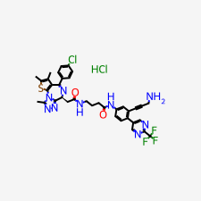 Cc1sc2c(c1C)C(c1ccc(Cl)cc1)=N[C@@H](CC(=O)NCCCC(=O)Nc1ccc(-c3cnc(C(F)(F)F)nc3)c(C#CCN)c1)c1nnc(C)n1-2.Cl